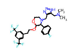 CN(C)Cc1[nH]nnc1CN1CCOC(OCCc2cc(C(F)(F)F)cc(C(F)(F)F)c2)C1c1ccc(F)cc1